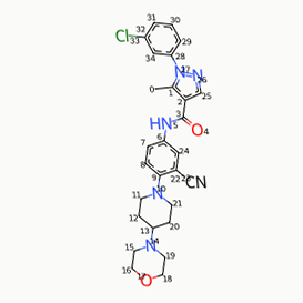 Cc1c(C(=O)Nc2ccc(N3CCC(N4CCOCC4)CC3)c(C#N)c2)cnn1-c1cccc(Cl)c1